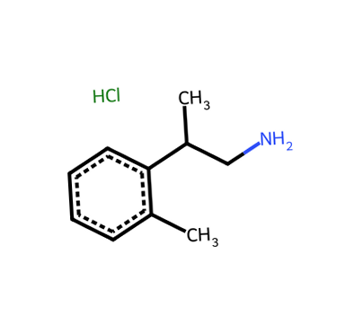 Cc1ccccc1C(C)CN.Cl